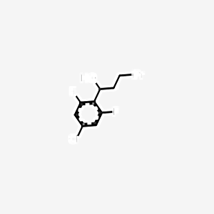 CC(C)C[CH]C(O)c1c(F)cc(Cl)cc1F